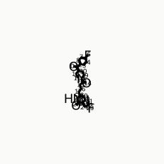 O=C(c1ccc(F)cc1)C1CCN(C(=O)CCCc2cn3cc(F)cc3c(=O)[nH]2)CC1